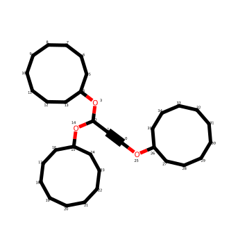 C(#CC(OC1CCCCCCCCC1)OC1CCCCCCCCC1)OC1CCCCCCCCC1